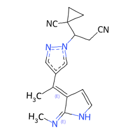 C/N=C1/NC=C/C1=C(/C)c1cnn(C(CC#N)C2(C#N)CC2)c1